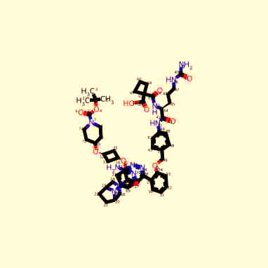 CC(C)(C)OC(=O)N1CCC(O[C@H]2C[C@H](Oc3cc(N4C5CCC4CN(c4cc(-c6ccccc6OCc6ccc(NC(=O)[C@H](CCCNC(N)=O)NC(=O)C7(C(=O)O)CCC7)cc6)nnc4N)C5)ccn3)C2)CC1